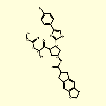 CC(C)[C@H](NC(=O)OC(C)(C)C)C(=O)N1C[C@H](OC(=O)N2Cc3cc4c(cc3C2)OCO4)C[C@H]1c1nc(-c2ccc(Br)cc2)c[nH]1